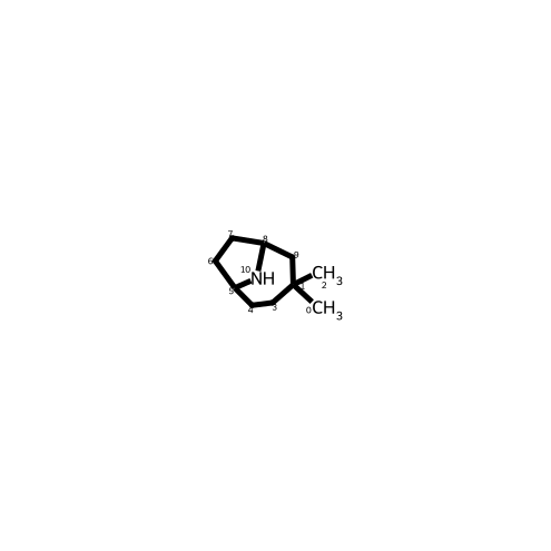 CC1(C)CCC2CCC(C1)N2